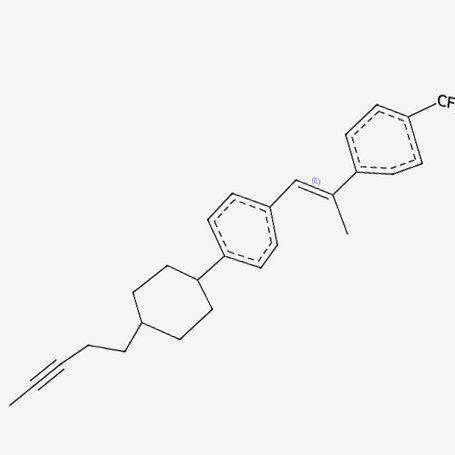 CC#CCCC1CCC(c2ccc(/C=C(\C)c3ccc(C(F)(F)F)cc3)cc2)CC1